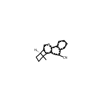 CC12CC[C@H]1c1cnc3c(cc(C#N)c4ccccc43)c12